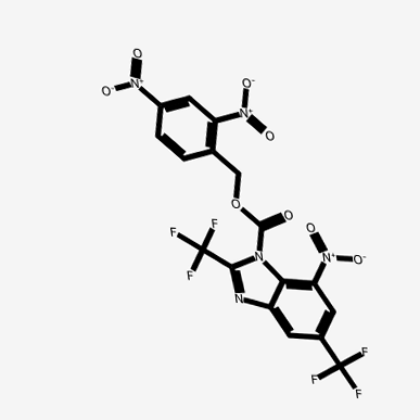 O=C(OCc1ccc([N+](=O)[O-])cc1[N+](=O)[O-])n1c(C(F)(F)F)nc2cc(C(F)(F)F)cc([N+](=O)[O-])c21